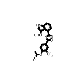 CC(Oc1ccc(-c2nc(-c3cccc4[nH]cc(C=O)c34)no2)cc1C(F)(F)F)C(F)(F)F